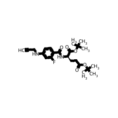 C#CCNc1ccc(C(=O)N[C@H](CCC(=O)OC(C)(C)C)C(=O)OC(C)(C)C)c(F)c1